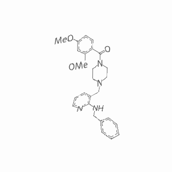 COc1ccc(C(=O)N2CCN(Cc3cccnc3NCc3ccccc3)CC2)c(OC)c1